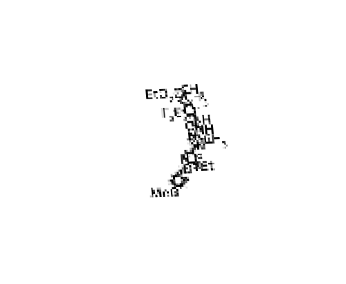 CCOC(=O)C(C)(C)Cc1ccc(NC(=O)Nc2ncc(-c3cnc(OCc4ccc(OC)cc4)c(OCC)c3)nc2C)cc1C(F)(F)F